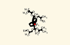 C=C(C)C(=O)OC(C)(COC1=CC2=CC=C1C2C1(C)C2=CC=C1C(OCC(C)(OCC(C)OCC)OC(=O)C(=C)C)=C2)OCC(C)OCC